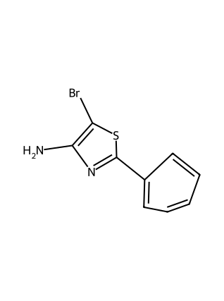 Nc1nc(-c2ccccc2)sc1Br